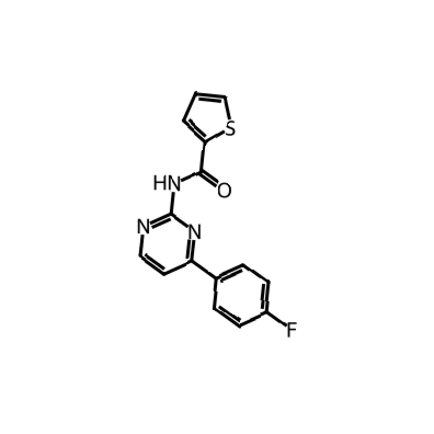 O=C(Nc1nccc(-c2ccc(F)cc2)n1)c1cccs1